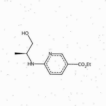 CCOC(=O)c1ccc(N[C@@H](C)CO)nc1